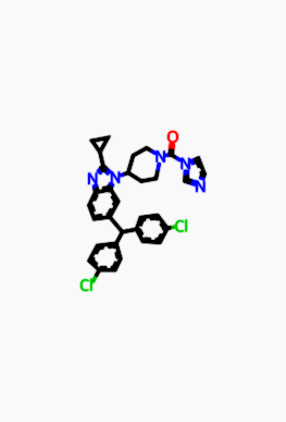 O=C(N1CCC(n2c(C3CC3)nc3ccc(C(c4ccc(Cl)cc4)c4ccc(Cl)cc4)cc32)CC1)n1ccnc1